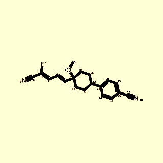 COC1(C=CC=C(F)C#N)CCC(c2ccc(C#N)cc2)CC1